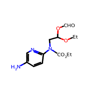 CCOC(=O)N(CC(OC=O)OCC)c1ccc(N)cn1